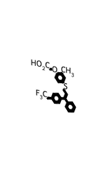 Cc1cc(SCC=C(c2ccccc2)c2ccc(CC(F)(F)F)cc2)ccc1OCC(=O)O